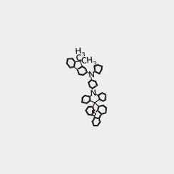 CC1(C)c2ccccc2-c2ccc(N(c3ccccc3)c3ccc(N4c5ccccc5C(c5ccccc5)(c5cccc6c5sc5ccccc56)c5ccccc54)cc3)cc21